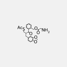 CC(=O)SCC(Cc1ccc2c(c1)OCO2)C(=O)c1ccccc1COC(=O)CN